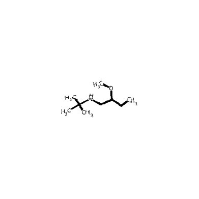 CCC(CNC(C)(C)C)OC